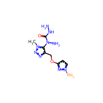 Cn1nnc(COc2ccn(P)n2)c1N(N)C(=O)NN